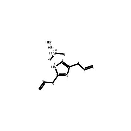 Br.Br.C=CCc1c[nH]c(CC=C)n1.C[SiH2]C